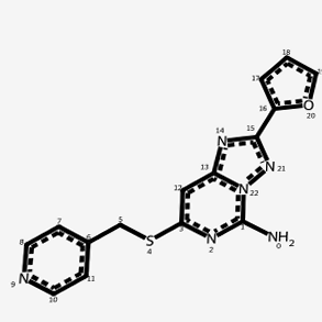 Nc1nc(SCc2ccncc2)cc2nc(-c3ccco3)nn12